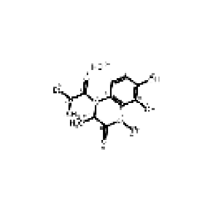 CCN(C)C(=O)N(c1ccc(O)c(O)c1)C(C)C(=O)OC(C)C.Cl